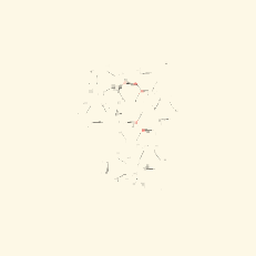 CC(C)(C)c1cc(-c2cccc3cccc(-c4ccccc4N(c4ccc(-c5cccc6c5-c5ccccc5C6(C)C)cc4)c4cccc5sc6ccccc6c45)c23)cc(C(C)(C)C)c1